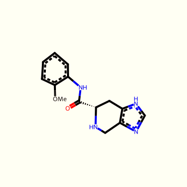 COc1ccccc1NC(=O)[C@@H]1Cc2[nH]cnc2CN1